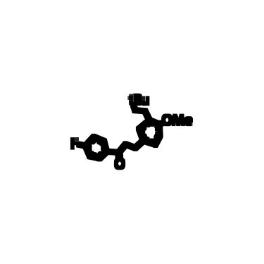 COc1ccc(CCC(=O)c2ccc(F)cc2)cc1CCC(C)(C)C